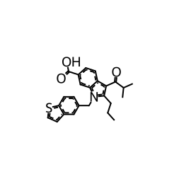 CCCc1c(C(=O)C(C)C)c2ccc(C(=O)O)cc2n1Cc1ccc2sccc2c1